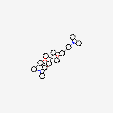 c1ccc([Si](c2ccccc2)(c2cccc3c2oc2ccc(-c4ccc(-n5c6ccccc6c6ccccc65)cc4)cc23)c2cccc3c2oc2ccc(-c4ccccc4-n4c5ccccc5c5ccccc54)cc23)cc1